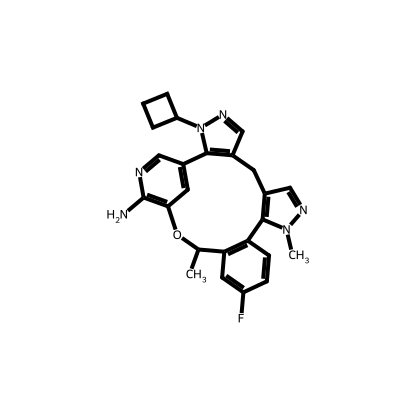 CC1Oc2cc(cnc2N)-c2c(cnn2C2CCC2)Cc2cnn(C)c2-c2ccc(F)cc21